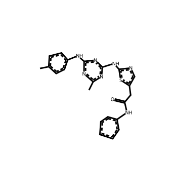 Cc1ccc(Nc2nc(C)nc(Nc3ncc(CC(=O)Nc4ccccc4)s3)n2)cc1